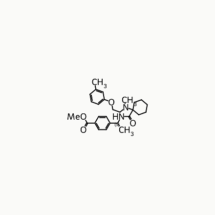 COC(=O)c1ccc([C@H](C)NC(=O)C2(N(C)CCOc3cccc(C)c3)CCCCC2)cc1